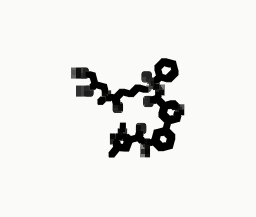 Cc1cc(C(=O)Nc2cccc(-c3cncc(C(=O)N=[S@](=O)(CCCCC(=O)N(C)CC(O)CO)C4C=CC=CC4)c3)c2)n(C)n1